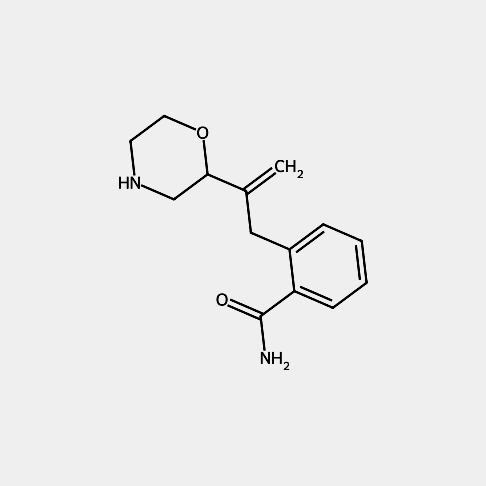 C=C(Cc1ccccc1C(N)=O)C1CNCCO1